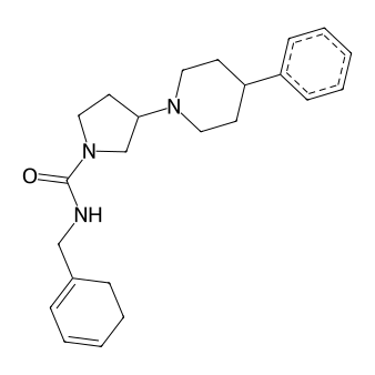 O=C(NCC1=CC=CCC1)N1CCC(N2CCC(c3ccccc3)CC2)C1